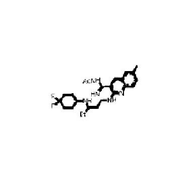 CCC(CCNc1nc2ccc(C)cc2cc1C(=N)NC(C)=O)NC1CCC(F)(F)CC1